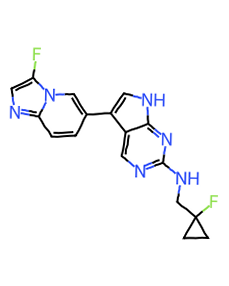 Fc1cnc2ccc(-c3c[nH]c4nc(NCC5(F)CC5)ncc34)cn12